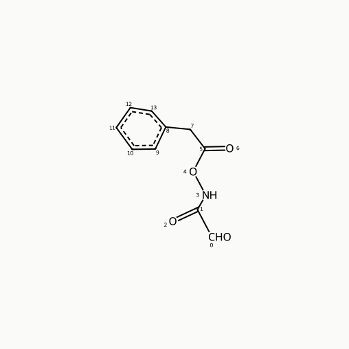 O=CC(=O)NOC(=O)Cc1ccccc1